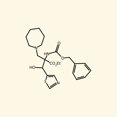 CCOC(=O)C(CN1CCCCCC1)(NC(=O)OCc1ccccc1)C(O)c1cncs1